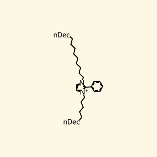 CCCCCCCCCCCCCCCCCCCn1cc[n+](CCCCCCCCCCCCCCC)c1-c1ccccc1